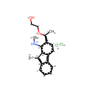 CC(OCCO)=c1ccc2c(c1NC(C)(C)C)[C]([Zr+2])=c1ccccc1=2.[Cl-].[Cl-]